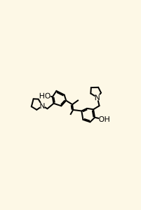 C/C(=C(/C)c1ccc(O)c(CN2CCCC2)c1)c1ccc(O)c(CN2CCCC2)c1